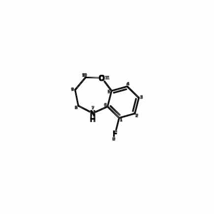 Fc1cccc2c1NCCCO2